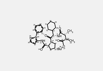 C[C@@H](C(=O)N[C@H](C(=O)N1CCC[C@H]1C(=O)Nc1ccnn1-c1ccccc1)C1CCCCC1)N(C)C(=O)OC(C)(C)C